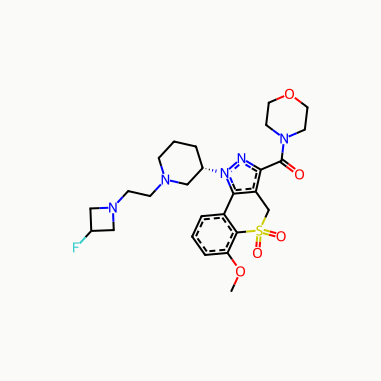 COc1cccc2c1S(=O)(=O)Cc1c(C(=O)N3CCOCC3)nn([C@H]3CCCN(CCN4CC(F)C4)C3)c1-2